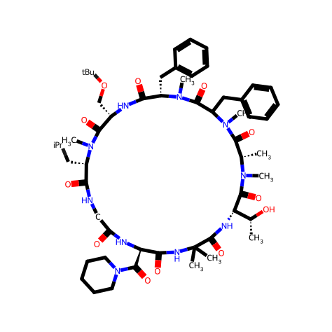 CC(C)C[C@H]1C(=O)NCC(=O)N[C@H](C(=O)N2CCCCC2)C(=O)NC(C)(C)C(=O)N[C@@H]([C@@H](C)O)C(=O)N(C)[C@@H](C)C(=O)N(C)C(Cc2ccccc2)C(=O)N(C)[C@@H](Cc2ccccc2)C(=O)N[C@@H](COC(C)(C)C)C(=O)N1C